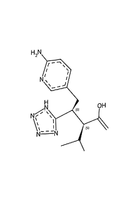 C=C(O)[C@@H](C(C)C)[C@H](Cc1ccc(N)nc1)c1nnn[nH]1